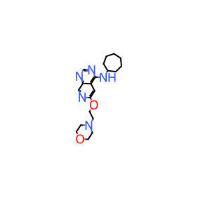 c1nc(NC2CCCCCC2)c2cc(OCCN3CCOCC3)ncc2n1